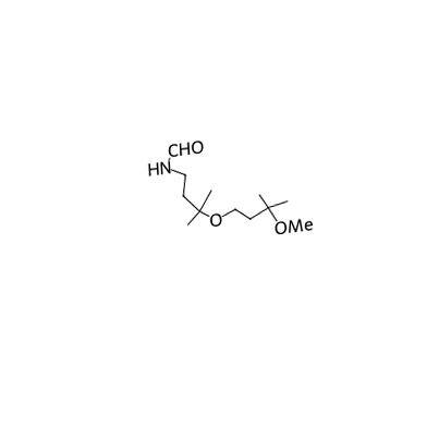 COC(C)(C)CCOC(C)(C)CCNC=O